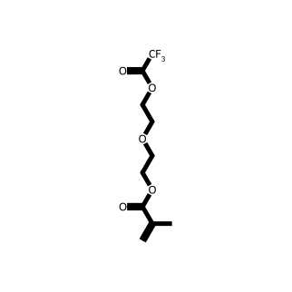 C=C(C)C(=O)OCCOCCOC(=O)C(F)(F)F